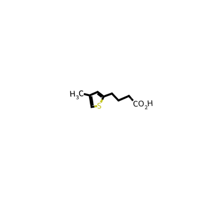 Cc1csc(CCCC(=O)O)c1